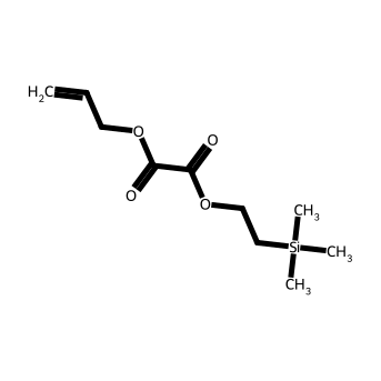 C=CCOC(=O)C(=O)OCC[Si](C)(C)C